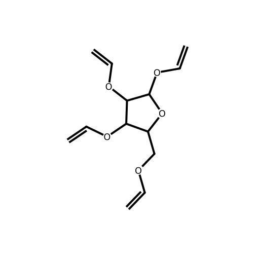 C=COCC1OC(OC=C)C(OC=C)C1OC=C